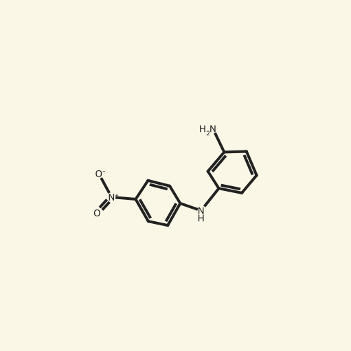 Nc1cccc(Nc2ccc([N+](=O)[O-])cc2)c1